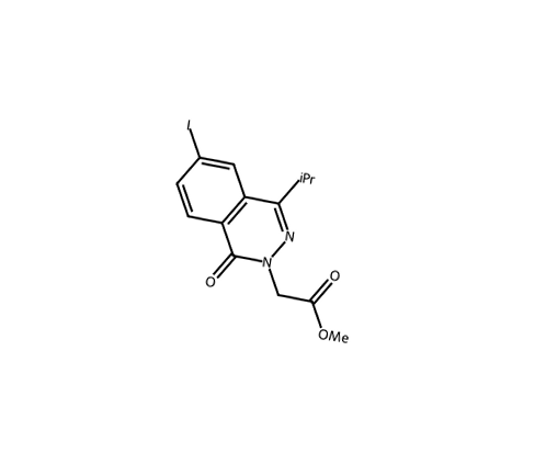 COC(=O)Cn1nc(C(C)C)c2cc(I)ccc2c1=O